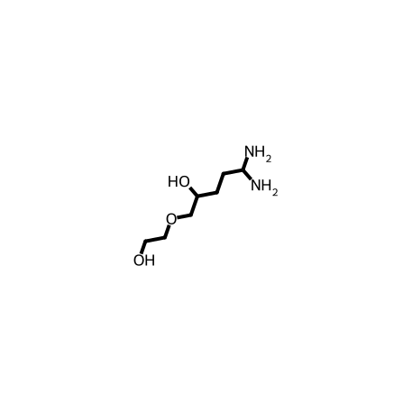 NC(N)CCC(O)COCCO